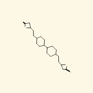 O=C1CC(CCC2CCC(C3CCC(CCC4CC(=O)O4)CC3)CC2)O1